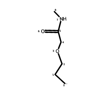 [CH2]CCOCC(=O)NC